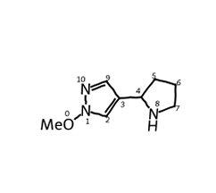 COn1cc(C2CCCN2)cn1